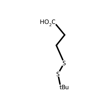 CC(C)(C)SSCCC(=O)O